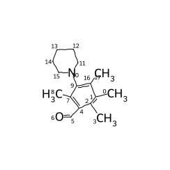 Cc1c(C)c(C=O)c(C)c(N2CCCCC2)c1C